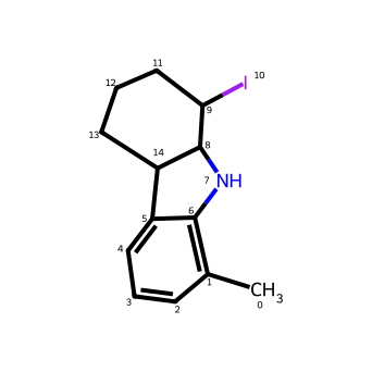 Cc1cccc2c1NC1C(I)CCCC21